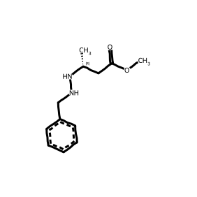 COC(=O)C[C@@H](C)NNCc1ccccc1